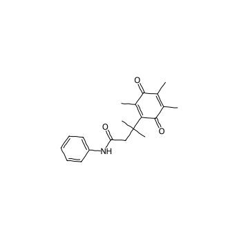 CC1=C(C)C(=O)C(C(C)(C)CC(=O)Nc2ccccc2)=C(C)C1=O